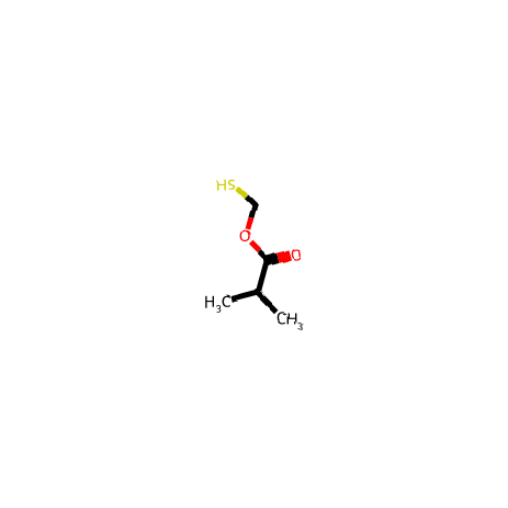 CC(C)C(=O)OCS